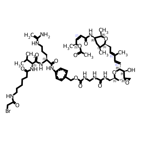 C=C(N)NCCC[C@H](NC(=O)[C@@H](NC(=O)CCCCCNC(=O)CBr)C(C)C)C(=O)Nc1ccc(COC(=O)NCNC(=O)NC[C@@H]2C[C@@]3(CO3)[C@H](O)[C@@H](/C=C/C(C)=C/C[C@@H]3O[C@H](C)[C@H](NC(=O)/C=C\[C@H](C)OC(C)=O)C[C@@H]3C)O2)cc1